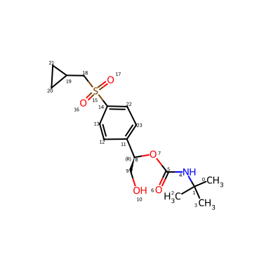 CC(C)(C)NC(=O)O[C@@H](CO)c1ccc(S(=O)(=O)CC2CC2)cc1